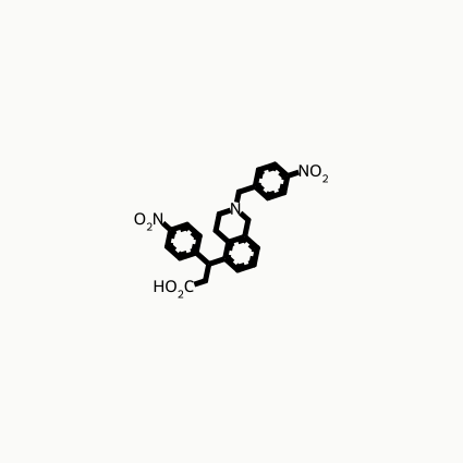 O=C(O)CC(c1ccc([N+](=O)[O-])cc1)c1cccc2c1CCN(Cc1ccc([N+](=O)[O-])cc1)C2